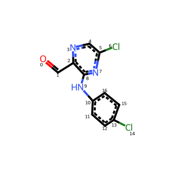 O=Cc1ncc(Cl)nc1Nc1ccc(Cl)cc1